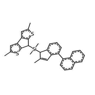 CC1=Cc2c(-c3cccc4ccccc34)cccc2C1[Si](C)(C)C1c2sc(C)cc2-c2cc(C)sc21